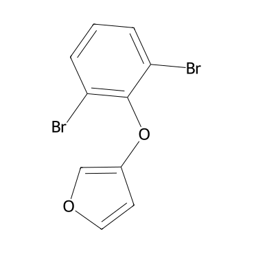 Brc1cccc(Br)c1Oc1ccoc1